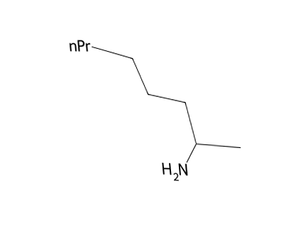 [CH2]CCCCCC(C)N